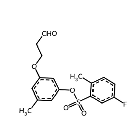 Cc1cc(OCCC=O)cc(OS(=O)(=O)c2cc(F)ccc2C)c1